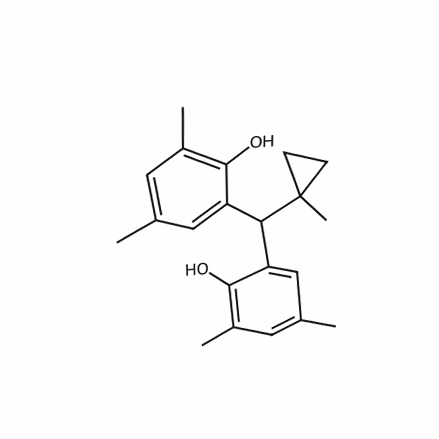 Cc1cc(C)c(O)c(C(c2cc(C)cc(C)c2O)C2(C)CC2)c1